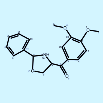 COc1ccc(C(=O)C2COC(c3ccccc3)N2)cc1OC